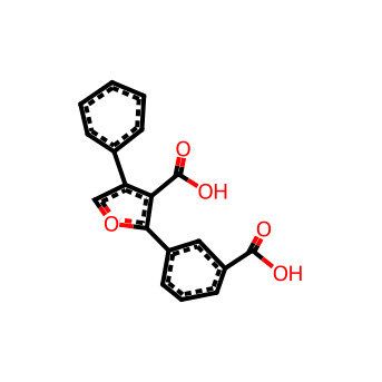 O=C(O)c1cccc(-c2occ(-c3ccccc3)c2C(=O)O)c1